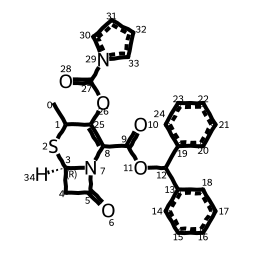 CC1S[C@@H]2CC(=O)N2C(C(=O)OC(c2ccccc2)c2ccccc2)=C1OC(=O)n1cccc1